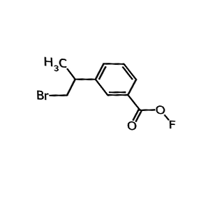 CC(CBr)c1cccc(C(=O)OF)c1